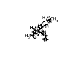 Cc1ncc(NC(=O)CN2CC(C)(C)C2)cc1-c1c(-c2cnn(CC3COC3)c2)sc2c(C(N)=O)cnn12